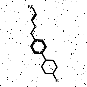 CCC1CCC(c2ccc(COC=CC(F)(F)F)cc2)CC1